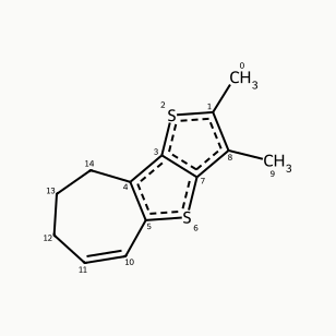 Cc1sc2c3c(sc2c1C)C=CCCC3